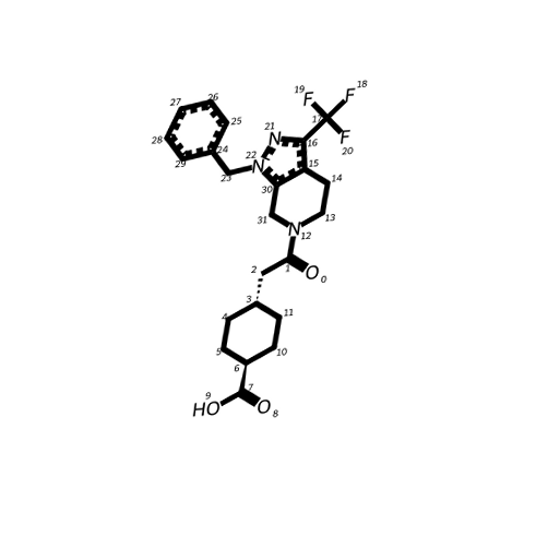 O=C(C[C@H]1CC[C@H](C(=O)O)CC1)N1CCc2c(C(F)(F)F)nn(Cc3ccccc3)c2C1